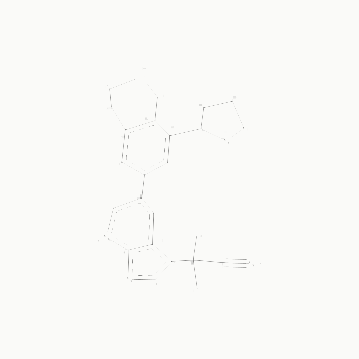 CC(C)(C#N)c1c[nH]c2ncc(-c3cc4c(c(C5CCCN5)c3)COCC4)cc12